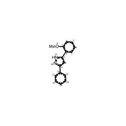 COc1ccccc1-c1cc(-c2ccccc2)n[nH]1